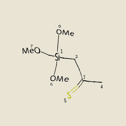 CO[Si](CC(C)=S)(OC)OC